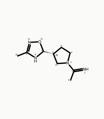 CC(=N)N1CC[C@@H](C2NC(C)=NO2)C1